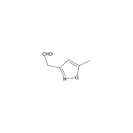 Cc1cc(CC=O)no1